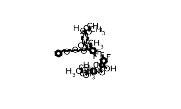 Cn1c(C(=O)N2CCN(C(=O)OC(C)(C)C)CC2)c(O)c2cc(F)c(F)cc21.Cn1c(C(=O)N2CCN(C(=O)OC(C)(C)C)CC2)c(OCCOCCOCc2ccccc2)c2cc(F)c(F)cc21